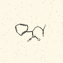 [O]C(=O)OC(c1ccccc1)[N+](=O)[O-]